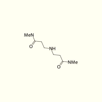 CNC(=O)CCNCCC(=O)NC